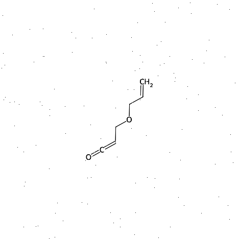 C=CCOCC=C=O